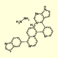 Cc1ccc2c(-c3ccc4ncsc4c3)nccc2c1-c1ncccc1-c1ncnc2[nH]ccc12.NN